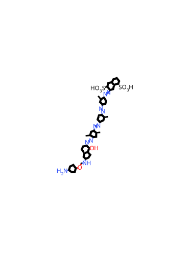 Cc1cc(N=Nc2cc(C)c(N=Nc3ccc4cc(NCOc5ccc(N)cc5)ccc4c3O)cc2C)ccc1N=Nc1ccc(N=Nc2cc3c(S(=O)(=O)O)cccc3cc2S(=O)(=O)O)c(C)c1